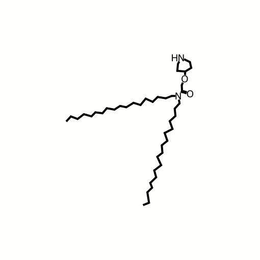 CCCCCCCCCCCCCCCCCCN(CCCCCCCCCCCCCCCCCC)C(=O)COC1CCNCC1